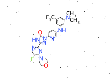 CN(C)c1cc(Nc2ccc(-n3nc(-c4ncc(F)c(N5CCOCC5)n4)[nH]c3=O)nc2)cc(C(F)(F)F)c1